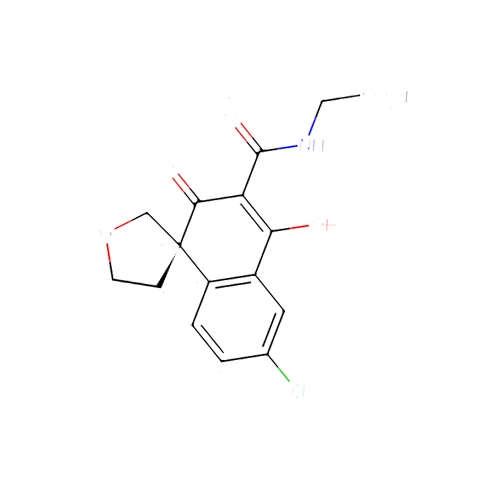 O=C(O)CNC(=O)C1=C(O)c2cc(Cl)ccc2[C@@]2(CCOC2)C1=O